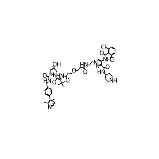 Cc1ncsc1-c1ccc(CNC(=O)[C@@H]2C[C@@H](O)CN2C(=O)[C@@H](NC(=O)CCOCCC(=O)NCCn2cc(NC(=O)c3c(Cl)cccc3Cl)c(C(=O)NC3CCNCC3)n2)C(C)(C)C)cc1